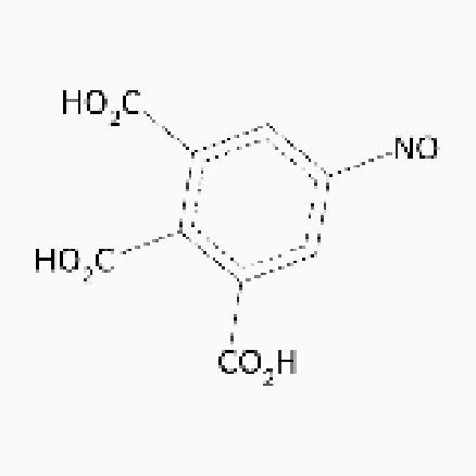 O=Nc1cc(C(=O)O)c(C(=O)O)c(C(=O)O)c1